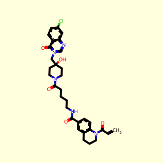 C=CC(=O)N1CCCc2cc(C(=O)NCCCCC(=O)N3CCC(O)(Cn4cnc5cc(Cl)ccc5c4=O)CC3)ccc21